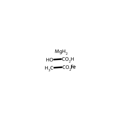 CC(=O)O.O=C(O)O.[Fe].[MgH2]